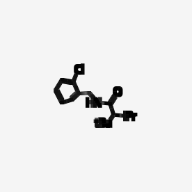 CC(C)C(C(=O)NCc1ccccc1Cl)C(C)(C)C